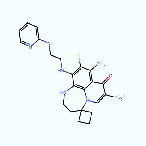 Nc1c(F)c(NCCNc2ccccn2)c2c3c1c(=O)c(C(=O)O)cn3C1(CCC1)CCN2